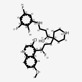 COc1ccc2ncc(Cl)c([C@H](F)CCC3([C@@H](O)CCNc4cc(F)cc(F)c4F)CCNCC3)c2c1